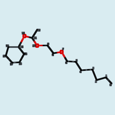 CCCCCCCOCCOC(C)OC1CCCCC1